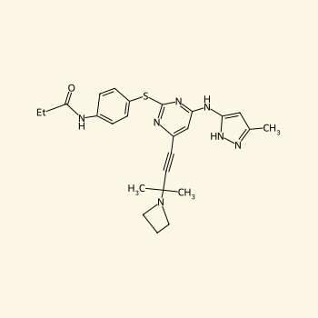 CCC(=O)Nc1ccc(Sc2nc(C#CC(C)(C)N3CCC3)cc(Nc3cc(C)n[nH]3)n2)cc1